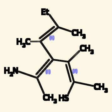 CC/C(C)=C(C)/C(C(/C)=C(/C)S)=C(/C)N